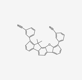 CC1(C)c2c(-c3cccc(C#N)c3)cccc2-c2ccc3c(oc4c(-c5cccc(C#N)c5)cccc43)c21